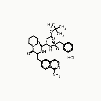 CC(C)(C)OC(=O)C[C@H](NS(=O)(=O)Cc1ccccc1)C(=O)NC(Cc1ccc2c(N)nccc2c1)C(=O)N1CCCCC1.Cl